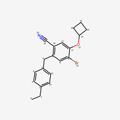 CCc1ccc(Cc2cc(Br)c(OC3CCC3)cc2C#N)cc1